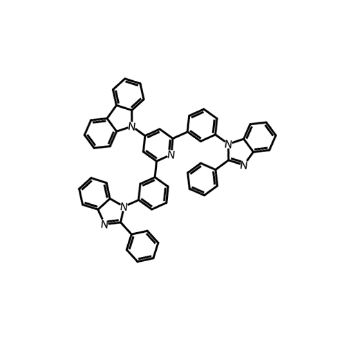 c1ccc(-c2nc3ccccc3n2-c2cccc(-c3cc(-n4c5ccccc5c5ccccc54)cc(-c4cccc(-n5c(-c6ccccc6)nc6ccccc65)c4)n3)c2)cc1